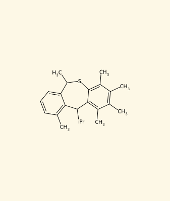 Cc1cccc2c1C(C(C)C)c1c(C)c(C)c(C)c(C)c1SC2C